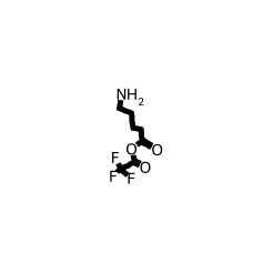 NCCCCC(=O)OC(=O)C(F)(F)F